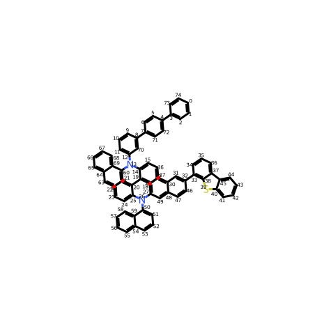 c1ccc(-c2ccc(-c3cccc(N(c4ccccc4-c4ccccc4N(c4ccc5cc(-c6cccc7c6sc6ccccc67)ccc5c4)c4cccc5ccccc45)c4cccc5ccccc45)c3)cc2)cc1